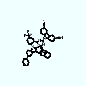 N#Cc1ccc2c(c1)c1cc(C#N)ccc1n2-c1nc(-c2ccccc2)nc(-c2cc(C(F)(F)F)ccc2-n2c3ccc(-c4ccccc4)cc3c3cc(-c4ccccc4)ccc32)n1